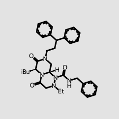 CCC(C)[C@H]1C(=O)N(CCC(c2ccccc2)c2ccccc2)C[C@H]2N1C(=O)CN(CC)N2C(=O)NCc1ccccc1